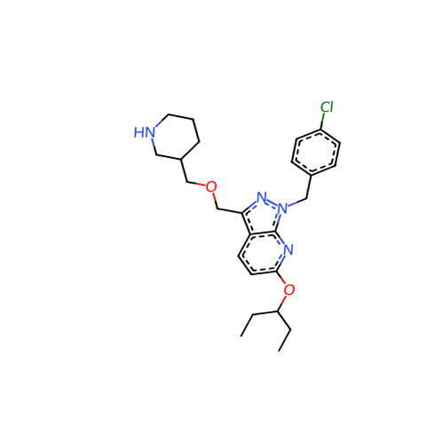 CCC(CC)Oc1ccc2c(COCC3CCCNC3)nn(Cc3ccc(Cl)cc3)c2n1